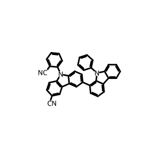 N#Cc1ccc2c(c1)c1cc(-c3cccc4c5ccccc5n(-c5ccccc5)c34)ccc1n2-c1ccccc1C#N